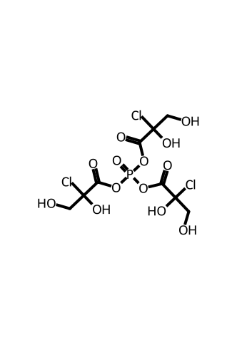 O=C(OP(=O)(OC(=O)C(O)(Cl)CO)OC(=O)C(O)(Cl)CO)C(O)(Cl)CO